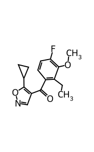 CCc1c(C(=O)c2cnoc2C2CC2)ccc(F)c1OC